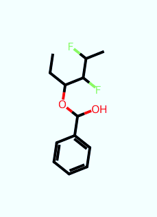 CCC(OC(O)c1ccccc1)C(F)C(C)F